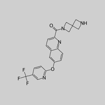 O=C(c1ccc2cc(Oc3ccc(C(F)(F)F)cn3)ccc2n1)N1CC2(CNC2)C1